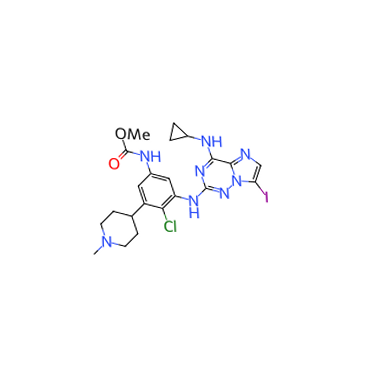 COC(=O)Nc1cc(Nc2nc(NC3CC3)c3ncc(I)n3n2)c(Cl)c(C2CCN(C)CC2)c1